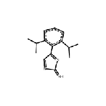 CC(C)c1cccc(C(C)C)c1C1=NC(=N)N=C1